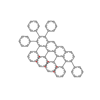 c1ccc(-c2ccc3cc4cc5c(-c6ccccc6)c(-c6ccccc6)c(-c6ccccc6)c(-c6ccccc6)c5c(-c5ccccc5)c4c(-c4ccccc4)c3c2-c2ccccc2)cc1